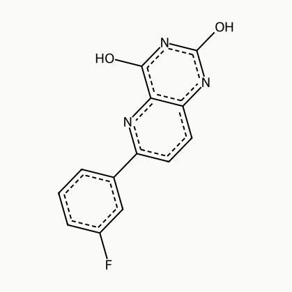 Oc1nc(O)c2nc(-c3cccc(F)c3)ccc2n1